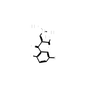 CN(C)C=C(C(=O)O)C(=O)c1cc(I)ccc1F